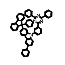 c1ccc(-c2ccc3c(c2)c2ccc(C4(c5ccccc5)c5ccccc5-c5ccccc54)cc2n3-c2cccc(-c3nc(-c4ccccc4)nc(-c4ccccc4)n3)c2)cc1